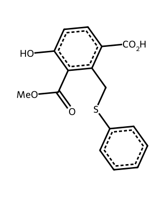 COC(=O)c1c(O)ccc(C(=O)O)c1CSc1ccccc1